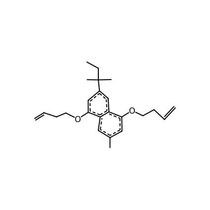 C=CCCOc1cc(C(C)(C)CC)cc2c(OCCC=C)cc(C)cc12